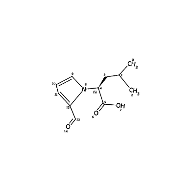 CC(C)C[C@@H](C(=O)O)n1cccc1C=O